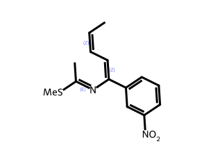 C\C=C/C=C(\N=C(/C)SC)c1cccc([N+](=O)[O-])c1